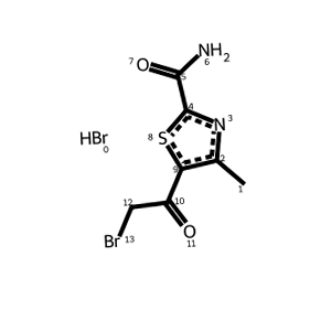 Br.Cc1nc(C(N)=O)sc1C(=O)CBr